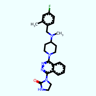 Cc1cc(F)ccc1CN(C)C1CCN(c2nnc(N3CCNC3=O)c3ccccc23)CC1